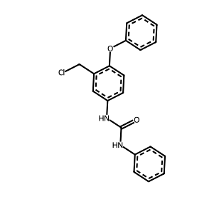 O=C(Nc1ccccc1)Nc1ccc(Oc2ccccc2)c(CCl)c1